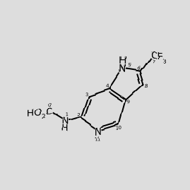 O=C(O)Nc1cc2[nH]c(C(F)(F)F)cc2cn1